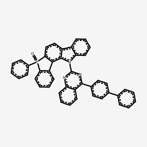 O=P1(c2ccccc2)c2ccccc2-c2c1ccc1c3ccccc3n(-c3nc(-c4ccc(-c5ccccc5)cc4)c4ccccc4n3)c21